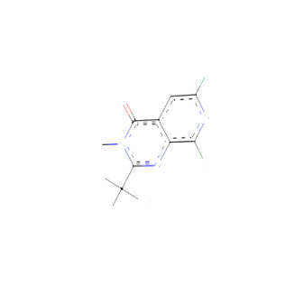 Cn1c(C(C)(C)C)nc2c(Br)nc(Cl)cc2c1=O